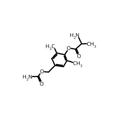 Cc1cc(COC(N)=O)cc(C)c1OC(=O)C(C)N